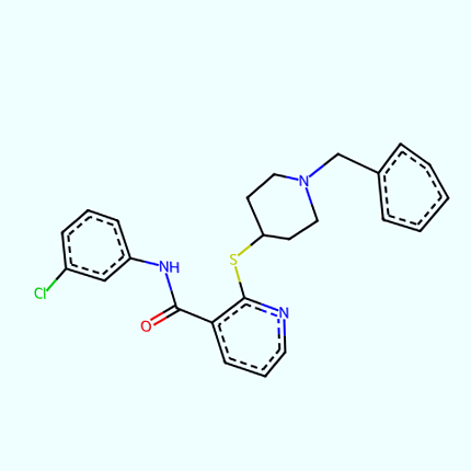 O=C(Nc1cccc(Cl)c1)c1cccnc1SC1CCN(Cc2ccccc2)CC1